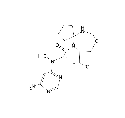 CN(c1cc(N)ncn1)c1cc(Cl)c2n(c1=O)C1(CCCC1)NCOC2